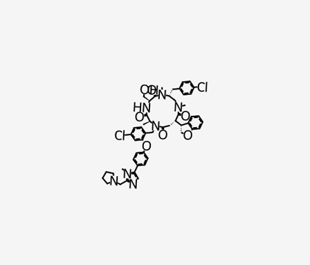 C[C@H]1C(=O)N[C@@H](CO)C(=O)N(C)[C@H](Cc2ccc(Cl)cc2)CN(C)C(=O)[C@H]([C@H]2COc3ccccc32)CC(=O)N1Cc1ccc(Cl)cc1Oc1ccc(-c2cnc(CN3CCCC3)n2C)cc1